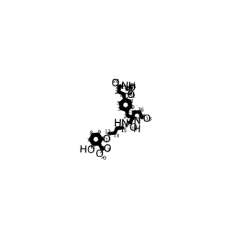 COC(=O)c1c(O)cccc1OCCCCNC(=O)C1(Cc2ccc(C3CC(=O)NS3(=O)=O)cc2)CCC(=O)N1